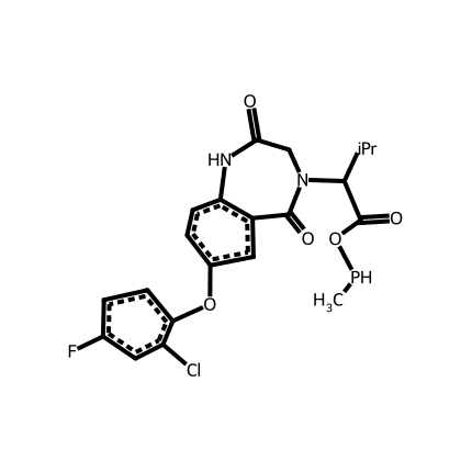 CPOC(=O)C(C(C)C)N1CC(=O)Nc2ccc(Oc3ccc(F)cc3Cl)cc2C1=O